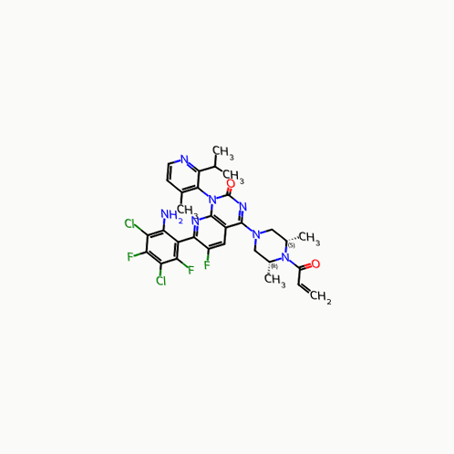 C=CC(=O)N1[C@H](C)CN(c2nc(=O)n(-c3c(C)ccnc3C(C)C)c3nc(-c4c(N)c(Cl)c(F)c(Cl)c4F)c(F)cc23)C[C@@H]1C